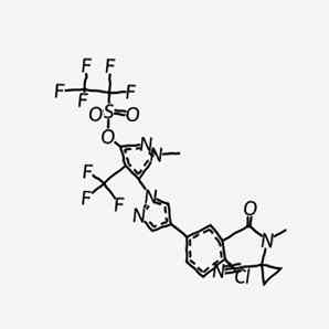 CN(C(=O)c1cc(-c2cnn(-c3c(C(F)(F)F)c(OS(=O)(=O)C(F)(F)C(F)(F)F)nn3C)c2)ccc1Cl)C1(C#N)CC1